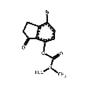 CN(C)C(=O)Oc1ccc(Br)c2c1C(=O)CC2